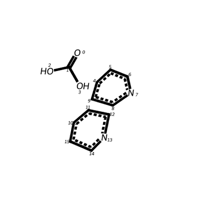 O=C(O)O.c1ccncc1.c1ccncc1